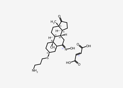 C[C@]12CC[C@H](SCCCN)CC1/C(=N/O)C[C@@H]1[C@@H]2CC[C@]2(C)C(=O)CC[C@@H]12.O=C(O)/C=C/C(=O)O